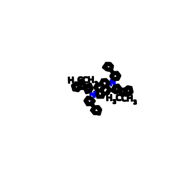 CC1(C)c2ccccc2-c2cc(N(c3cccc(-c4ccccc4)c3)c3ccc4ccc5c(N(c6cccc(-c7ccccc7)c6)c6ccc7c(c6)-c6ccccc6C7(C)C)ccc6ccc3c4c65)ccc21